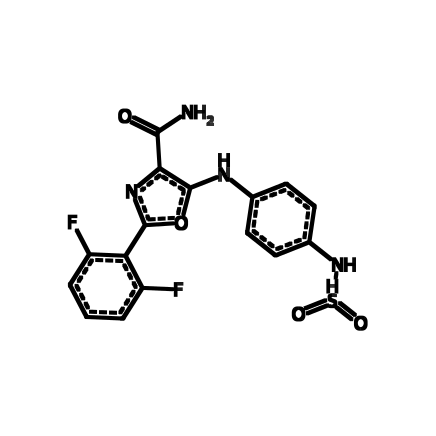 NC(=O)c1nc(-c2c(F)cccc2F)oc1Nc1ccc(N[SH](=O)=O)cc1